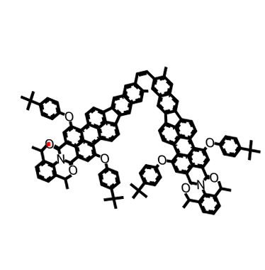 Cc1cc2cc3c(cc2cc1/C=C\c1cc2cc4c(cc2cc1C)-c1ccc2c5c(Oc6ccc(C(C)(C)C)cc6)cc6c7c(cc(Oc8ccc(C(C)(C)C)cc8)c(c8ccc-4c1c28)c75)C(=O)N(c1c(C(C)C)cccc1C(C)C)C6=O)-c1ccc2c4c(Oc5ccc(C(C)(C)C)cc5)cc5c6c(cc(Oc7ccc(C(C)(C)C)cc7)c(c7ccc-3c1c72)c64)C(=O)N(c1c(C(C)C)cccc1C(C)C)C5=O